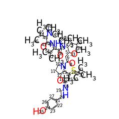 CCC(C)C(C(CC(=O)N1CCCC1C(CC(=O)NCCc1ccc(O)cc1)SC(C)(C)C)OC)N(C)C(=O)C(NC(=O)C(C(C)C)N(C)C)C(C)C